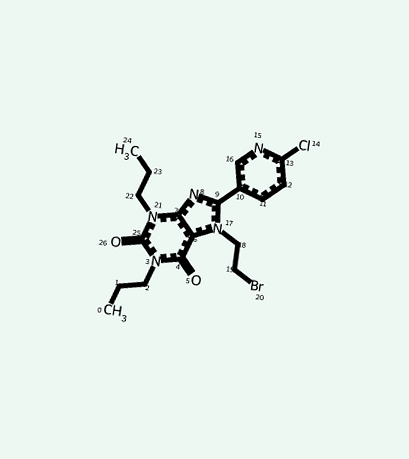 CCCn1c(=O)c2c(nc(-c3ccc(Cl)nc3)n2CCBr)n(CCC)c1=O